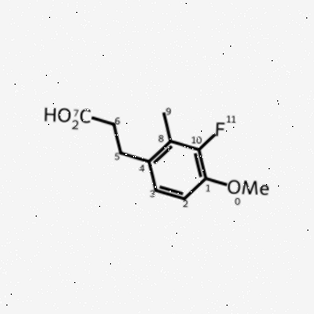 COc1ccc(CCC(=O)O)c(C)c1F